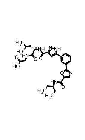 CCC(CC)NC(=O)c1cnc(-c2cccc(-c3cc(C(=O)N[C@@H](CC(C)C)C(=O)NCC(=O)O)n[nH]3)c2)o1